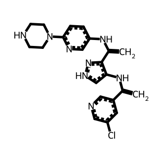 C=C(Nc1c[nH]nc1C(=C)Nc1ccc(N2CCNCC2)nc1)c1cncc(Cl)c1